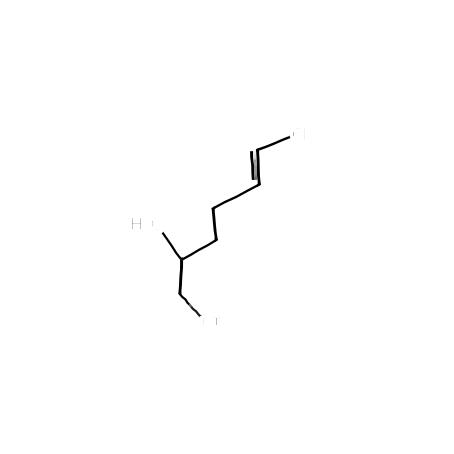 [CH2]C(C)CC(C)CCC=CC